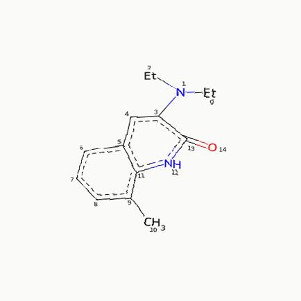 CCN(CC)c1cc2cccc(C)c2[nH]c1=O